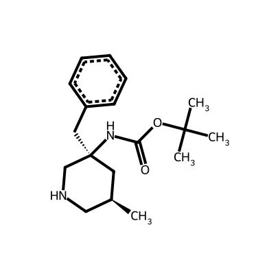 C[C@H]1CNC[C@@](Cc2ccccc2)(NC(=O)OC(C)(C)C)C1